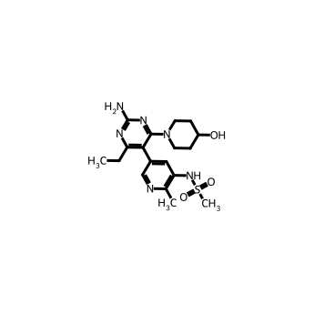 CCc1nc(N)nc(N2CCC(O)CC2)c1-c1cnc(C)c(NS(C)(=O)=O)c1